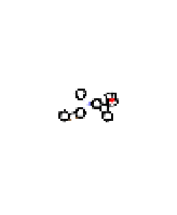 c1ccc(N(c2ccc3c(c2)-c2ccccc2C32C3CC4CC5CC2(C4)C5C3)c2ccc3sc4ccccc4c3c2)cc1